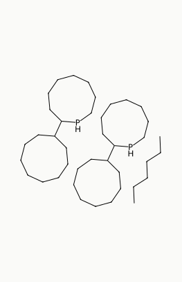 C1CCCCC(C2CCCCCCCP2)CCC1.C1CCCCC(C2CCCCCCCP2)CCC1.CCCCCC